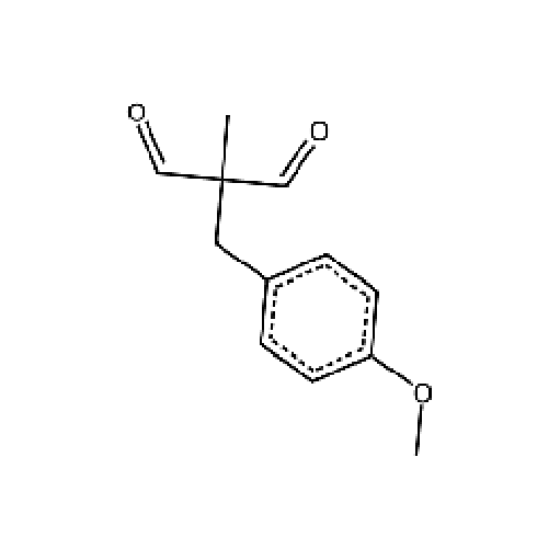 COc1ccc(CC(C)(C=O)C=O)cc1